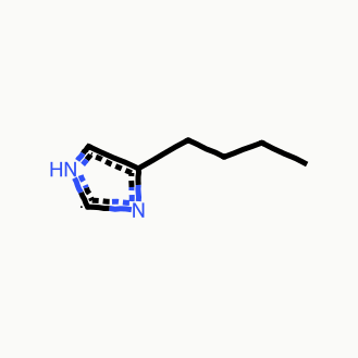 CCCCc1c[nH][c]n1